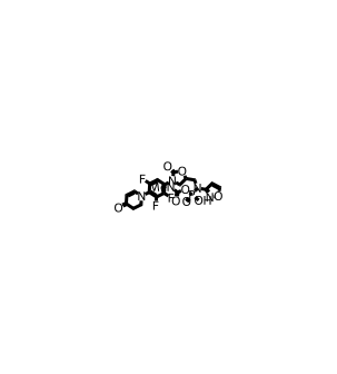 CNC(=O)OP(=O)(O)N(CC1CN(c2cc(F)c(N3C=CC(=O)CC3)c(F)c2F)C(=O)O1)c1ccon1